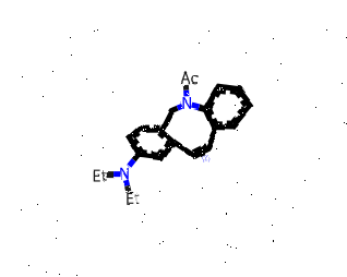 CCN(CC)c1ccc2c(c1)/C=C\c1ccccc1N(C(C)=O)C2